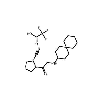 N#C[C@@H]1CSCN1C(=O)CNC1CCC2(CCCCC2)CC1.O=C(O)C(F)(F)F